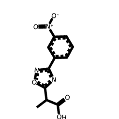 CC(C(=O)O)c1nc(-c2cccc([N+](=O)[O-])c2)no1